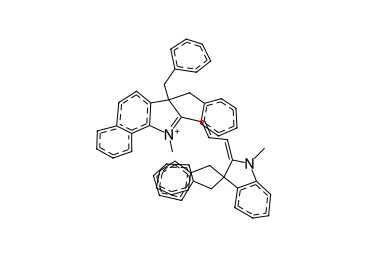 CN1/C(=C/C=C/C2=[N+](C)c3c(ccc4ccccc34)C2(Cc2ccccc2)Cc2ccccc2)C(Cc2ccccc2)(Cc2ccccc2)c2ccccc21